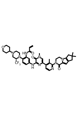 C=CC(=O)Nc1cc(Nc2nc(-c3ccnc(N4CCn5c(cc6c5CC(C)(C)C6)C4=O)c3C)cn(C)c2=O)ccc1N1CCN(C2CCOCC2)C[C@@H]1C(F)(F)F